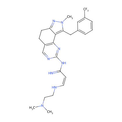 CN(C)CCN/C=C\C(=N)Nc1ncc2c(n1)-c1c(nn(C)c1Cc1cccc(C(F)(F)F)c1)CC2